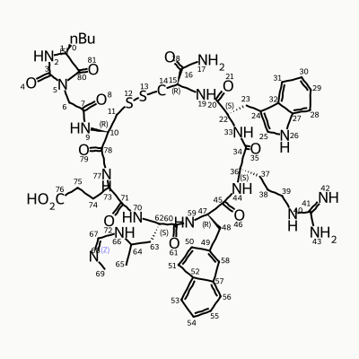 CCCC[C@@H]1NC(=O)N(CC(=O)N[C@H]2CSSC[C@@H](C(N)=O)NC(=O)[C@H](Cc3c[nH]c4ccccc34)NC(=O)[C@H](CCCNC(=N)N)NC(=O)[C@@H](Cc3ccc4ccccc4c3)NC(=O)[C@H](CC(C)N/C=N\C)NC(=O)C(CCC(=O)O)NC2=O)C1=O